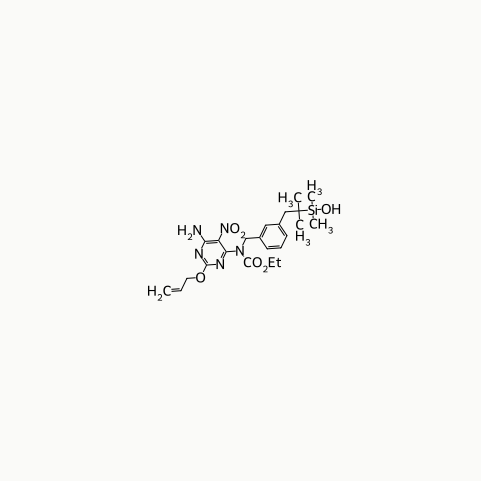 C=CCOc1nc(N)c([N+](=O)[O-])c(N(Cc2cccc(CC(C)(C)[Si](C)(C)O)c2)C(=O)OCC)n1